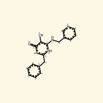 N#Cc1c(NCc2cccnc2)[nH]c(Cc2ccccc2)nc1=O